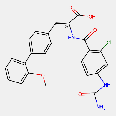 COc1ccccc1-c1ccc(C[C@H](NC(=O)c2ccc(NC(N)=O)cc2Cl)C(=O)O)cc1